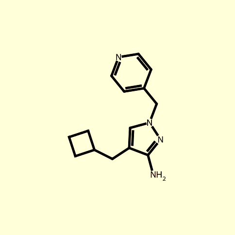 Nc1nn(Cc2ccncc2)cc1CC1CCC1